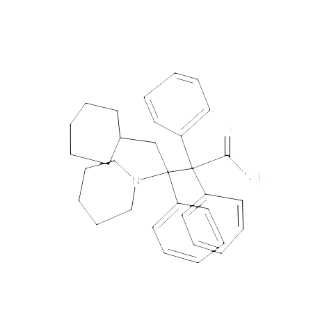 NC(=O)C(c1ccccc1)(c1ccccc1)C(CC1CCCCC1)(c1ccccc1)N1CCCCC1